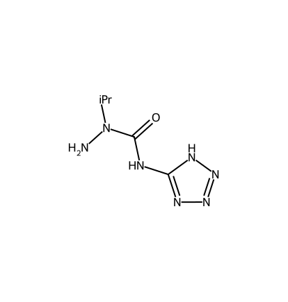 CC(C)N(N)C(=O)Nc1nnn[nH]1